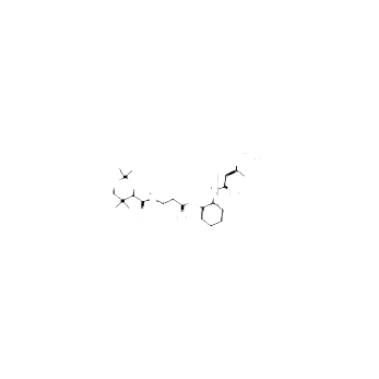 CCCCCCCCCCC(C)=CC(=O)N[C@H]1CCCC[C@@H]1OC(=O)CCNC(=O)C1OC(C)(C)OCC1(C)C